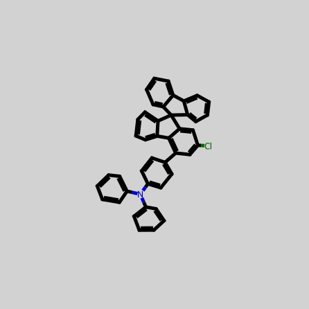 Clc1cc(-c2ccc(N(c3ccccc3)c3ccccc3)cc2)c2c(c1)C1(c3ccccc3-c3ccccc31)c1ccccc1-2